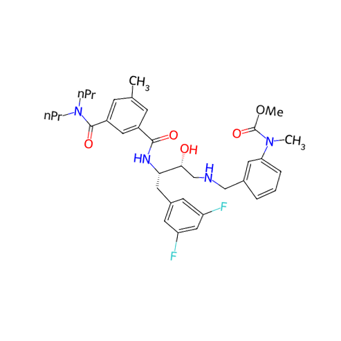 CCCN(CCC)C(=O)c1cc(C)cc(C(=O)N[C@@H](Cc2cc(F)cc(F)c2)[C@H](O)CNCc2cccc(N(C)C(=O)OC)c2)c1